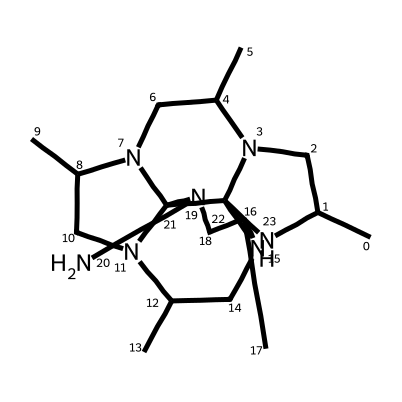 CC1CN2C(C)CN3C(C)CN4C(C)CN5C(C)CN(N)C34C25N1